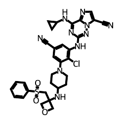 N#Cc1cc(Nc2nc(NC3CC3)c3ncc(C#N)n3n2)c(Cl)c(N2CCC(NC3(CS(=O)(=O)c4ccccc4)COC3)CC2)c1